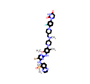 COc1cc(N2CCC(N(C)CC3CCN(c4ccc(N5CCC(=O)NC5=O)cc4F)CC3)CC2)c(C)cc1Nc1ncc(Br)c(Nc2ccc3nccnc3c2P(C)(C)=O)n1